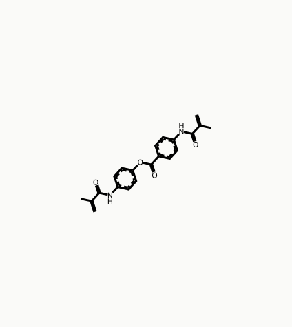 C=C(C)C(=O)Nc1ccc(OC(=O)c2ccc(NC(=O)C(=C)C)cc2)cc1